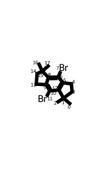 CC1(C)CCc2c(Br)c3c(c(Br)c21)CCC3(C)C